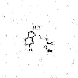 CC(C)(C)OC(=O)NCCn1c(C=O)cc2cnc(Cl)nc21